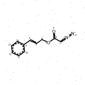 [N-]=[N+]=CC(=O)OCC=Cc1ccccc1